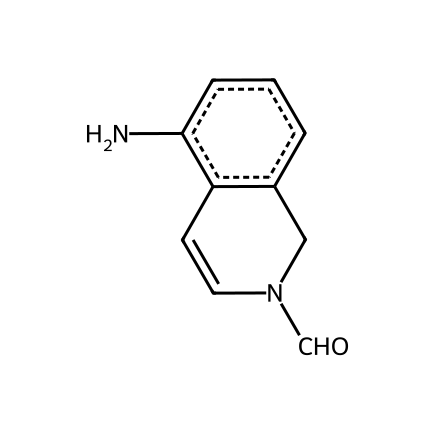 Nc1cccc2c1C=CN(C=O)C2